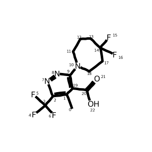 Cc1c(C(F)(F)F)nnc(N2CCCC(F)(F)CC2)c1C(=O)O